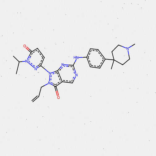 C=CCn1c(=O)c2cnc(Nc3ccc(C4(C)CCN(C)CC4)cc3)nc2n1-c1ccc(=O)n(C(C)C)n1